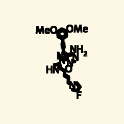 COc1cc(C#Cc2nn(C3CNC3C(=O)C=CCN3CCC(F)C3)c3ncnc(N)c23)cc(OC)c1